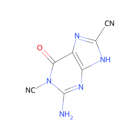 N#Cc1nc2c(=O)n(C#N)c(N)nc2[nH]1